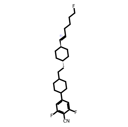 N#Cc1c(F)cc(C2CCC(CC[C@H]3CC[C@H](/C=C/CCCCF)CC3)CC2)cc1F